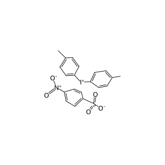 Cc1ccc([I+]c2ccc(C)cc2)cc1.O=[N+]([O-])c1ccc(S(=O)(=O)[O-])cc1